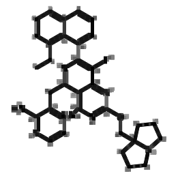 CCc1cccc2cccc(-c3nc(Cc4cccnc4N)c4c(N)nc(OCC56CCCN5CCC6)nc4c3F)c12